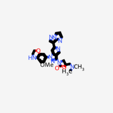 COc1cc2c(cc1-n1nc(N3CC(CN(C)C)OC3=O)c3cnc(-c4cnn5cccnc45)cc31)OCCN2